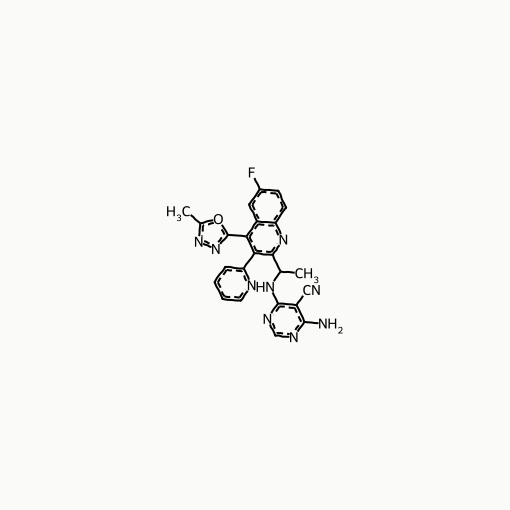 Cc1nnc(-c2c(-c3ccccn3)c(C(C)Nc3ncnc(N)c3C#N)nc3ccc(F)cc23)o1